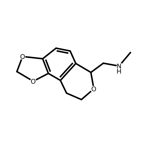 CNCC1OCCc2c1ccc1c2OCO1